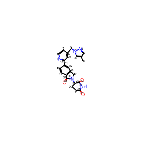 Cc1cnn(Cc2ccnc(-c3ccc4c(c3)CN(C3CCC(=O)NC3=O)C4=O)c2)c1